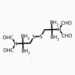 BC(B)(CSSCC(B)(B)N(C=O)C=O)N(C=O)C=O